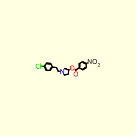 O=C(OC1CCN(CCc2ccc(Cl)cc2)C1)c1ccc([N+](=O)[O-])cc1